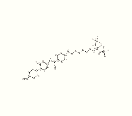 CCCC1CCC(c2ccc(OC(=O)c3ccc(OCCCCCCC[Si](C)(O[Si](C)(C)C)O[Si](C)(C)C)cc3)cc2C)CC1